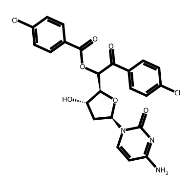 Nc1ccn([C@H]2C[C@H](O)[C@@H](C(OC(=O)c3ccc(Cl)cc3)C(=O)c3ccc(Cl)cc3)O2)c(=O)n1